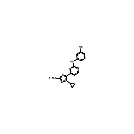 CC(=O)Nc1nc(C2CC2)c(-c2ccnc(Nc3cccc(O)c3)n2)s1